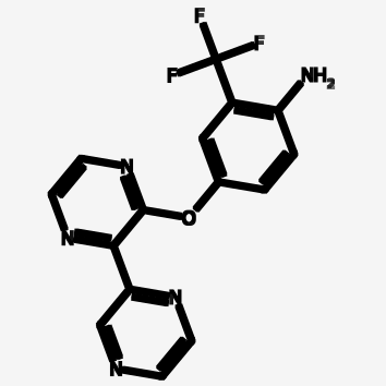 Nc1ccc(Oc2nccnc2-c2cnccn2)cc1C(F)(F)F